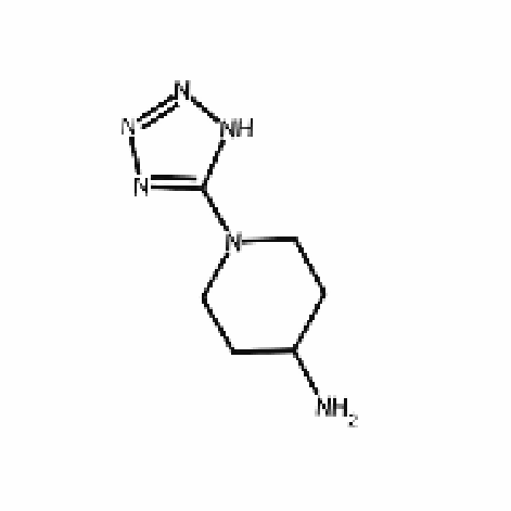 NC1CCN(c2nnn[nH]2)CC1